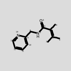 CC(C)=C(C)C(=O)NCc1ccccn1